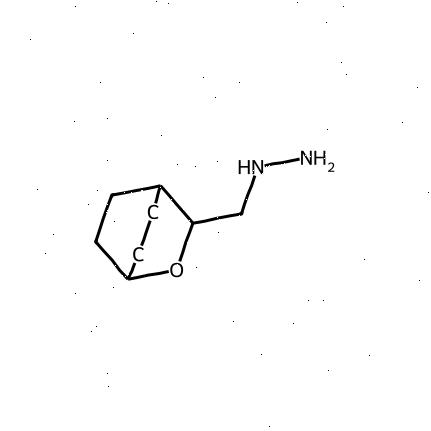 NNCC1OC2CCC1CC2